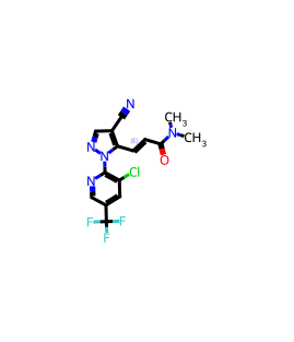 CN(C)C(=O)/C=C/c1c(C#N)cnn1-c1ncc(C(F)(F)F)cc1Cl